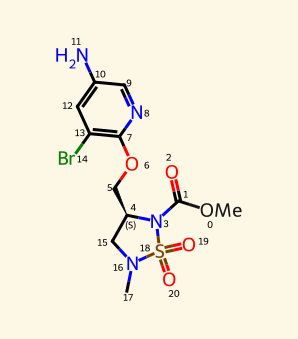 COC(=O)N1[C@H](COc2ncc(N)cc2Br)CN(C)S1(=O)=O